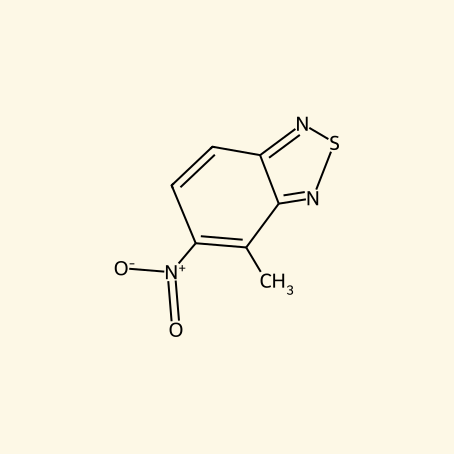 Cc1c([N+](=O)[O-])ccc2nsnc12